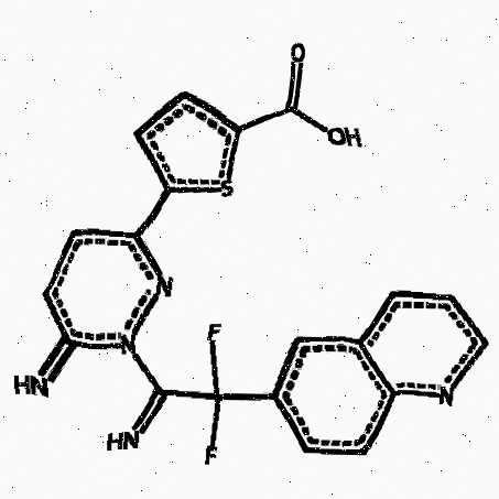 N=C(n1nc(-c2ccc(C(=O)O)s2)ccc1=N)C(F)(F)c1ccc2ncccc2c1